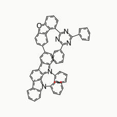 c1ccc(-c2nc(-c3ccccc3)nc(-c3cccc4oc5ccc(-c6ccc7c(c6)c6ccc8c9ccccc9n(-c9ccccc9)c8c6n7-c6ccccc6)cc5c34)n2)cc1